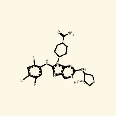 NC(=O)[C@H]1CC[C@@H](n2c(Nc3cc(F)c(Cl)cc3F)nc3cnc(NC4COC[C@H]4O)nc32)CC1